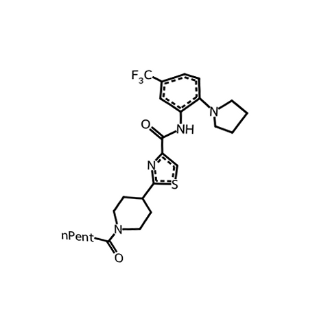 CCCCCC(=O)N1CCC(c2nc(C(=O)Nc3cc(C(F)(F)F)ccc3N3CCCC3)cs2)CC1